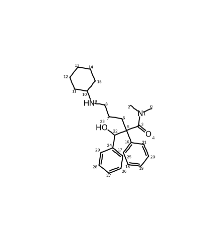 CN(C)C(=O)C(CCCNC1CCCCC1)(c1ccccc1)C(O)c1ccccc1